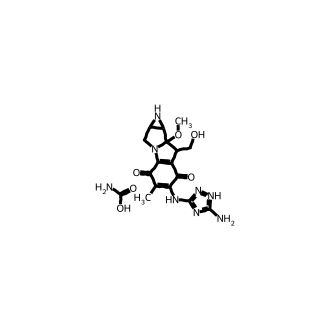 COC12C(CO)C3=C(C(=O)C(C)=C(Nc4n[nH]c(N)n4)C3=O)N1CC1NC12.NC(=O)O